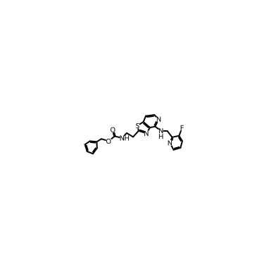 O=C(NCCc1nc2c(NCc3ncccc3F)nccc2s1)OCc1ccccc1